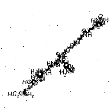 C=NC(N)(CF)c1ccc(C(=O)N[C@@H](CC(=O)NCCCCNc2ncnc3c2ncn3[C@@H]2O[C@H](CSCC[C@H](N)C(=O)O)C(O)C2O)C(=O)NCCCOCCOCCOCCCNC(=O)CCCC[C@@H]2SC[C@@H]3NC(=O)N[C@@H]32)cc1